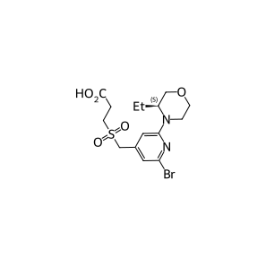 CC[C@H]1COCCN1c1cc(CS(=O)(=O)CCC(=O)O)cc(Br)n1